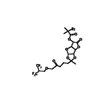 CCC(C)(C)C(=O)OC1C(=O)OC2C3OC(C)(CCCC(=O)COCC(C(F)(F)F)C(F)(F)F)OC3OC12